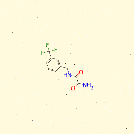 NC(=O)C(=O)NCc1cccc(C(F)(F)F)c1